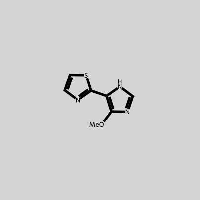 COc1n[c][nH]c1-c1nccs1